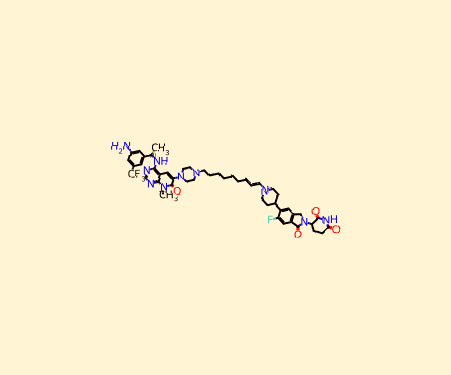 C[C@@H](Nc1ncnc2c1cc(N1CCN(CCCCCCCCCN3CCC(c4cc5c(cc4F)C(=O)N(C4CCC(=O)NC4=O)C5)CC3)CC1)c(=O)n2C)c1cc(N)cc(C(F)(F)F)c1